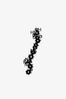 Nc1ncnc2c1c(-c1ccc(Oc3ccccc3)cc1)nn2C1CCN(c2cnc(N3CC4CN(c5ccc6c(c5)C(=O)N(C5CCC(O)NC5=O)C6=O)CC4C3)nc2)CC1